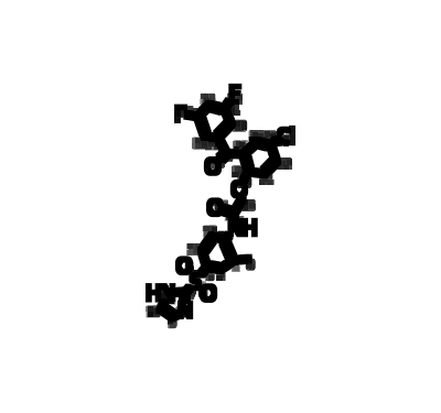 Cc1cc(S(=O)(=O)c2ncc[nH]2)ccc1NC(=O)COc1ccc(Cl)cc1C(=O)c1cc(F)cc(F)c1